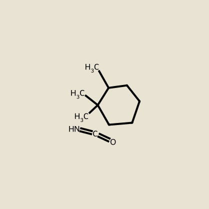 CC1CCCCC1(C)C.N=C=O